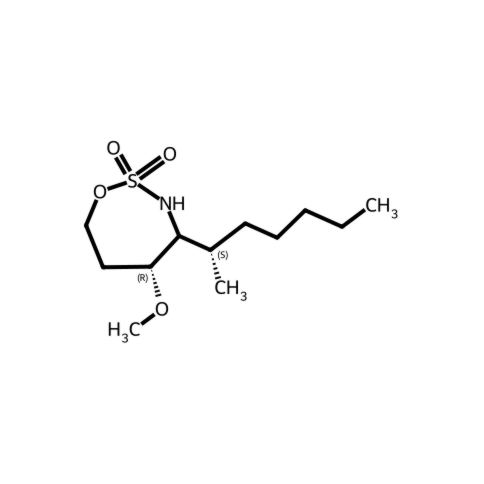 CCCCC[C@H](C)C1NS(=O)(=O)OCC[C@H]1OC